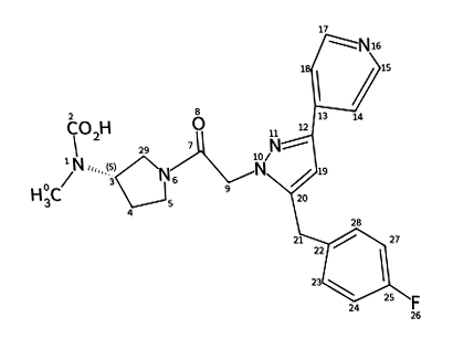 CN(C(=O)O)[C@H]1CCN(C(=O)Cn2nc(-c3ccncc3)cc2Cc2ccc(F)cc2)C1